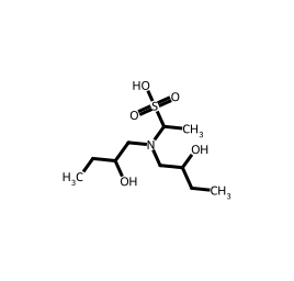 CCC(O)CN(CC(O)CC)C(C)S(=O)(=O)O